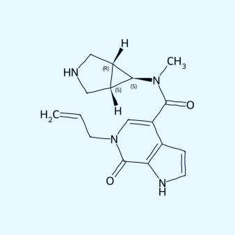 C=CCn1cc(C(=O)N(C)[C@H]2[C@@H]3CNC[C@@H]32)c2cc[nH]c2c1=O